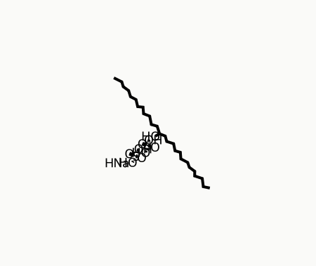 CCCCCCCCCCCCCC(O)CCCCCCCCCCCC.O=S(=O)(O)O.O=S(=O)(O)O.[NaH]